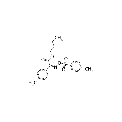 CCCCOC(=O)C(=NOS(=O)(=O)c1ccc(C)cc1)c1ccc(C)cc1